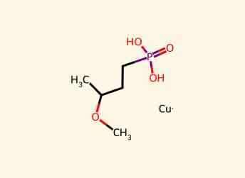 COC(C)CCP(=O)(O)O.[Cu]